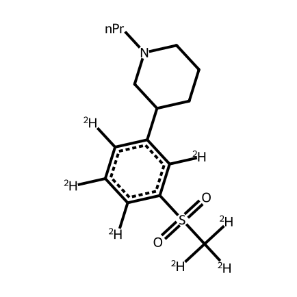 [2H]c1c([2H])c(C2CCCN(CCC)C2)c([2H])c(S(=O)(=O)C([2H])([2H])[2H])c1[2H]